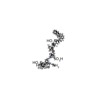 Cc1c(-c2ccc(N3CCc4cccc(C(=O)Nc5nc6ncccc6s5)c4C3)nc2C(=O)O)cnn1CC12CC3(C)CC(C)(C1)CC(OCCN(CCS(=O)(=O)O)C(=O)OC/C=C/c1ccc(O[C@@H]4O[C@H](C(=O)O)[C@@H](O)[C@H](O)[C@H]4O)c(NCCCN)c1)(C3)C2